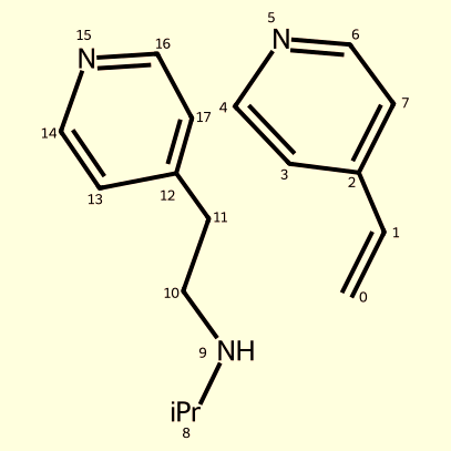 C=Cc1ccncc1.CC(C)NCCc1ccncc1